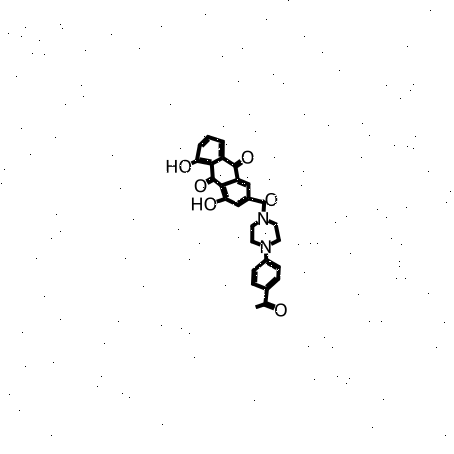 CC(=O)c1ccc(N2CCN(C(=O)c3cc(O)c4c(c3)C(=O)c3cccc(O)c3C4=O)CC2)cc1